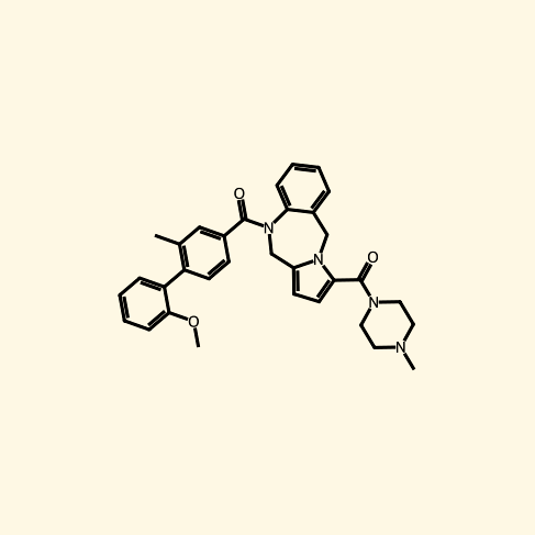 COc1ccccc1-c1ccc(C(=O)N2Cc3ccc(C(=O)N4CCN(C)CC4)n3Cc3ccccc32)cc1C